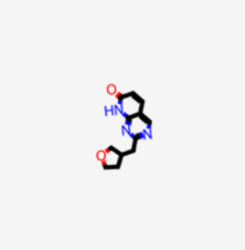 O=c1ccc2cnc(CC3CCOC3)nc2[nH]1